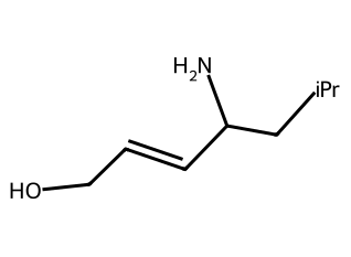 CC(C)CC(N)/C=C/CO